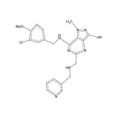 CCCc1nn(C)c2c(NCc3ccc(OC)c(Cl)c3)nc(CNCc3cccnc3)nc12